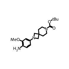 COc1cc(N2CC3(CCN(C(=O)OC(C)(C)C)CC3)C2)ccc1N